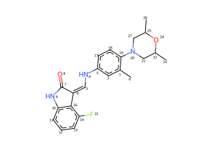 Cc1cc(NC=C2C(=O)Nc3cccc(F)c32)ccc1N1CC(C)OC(C)C1